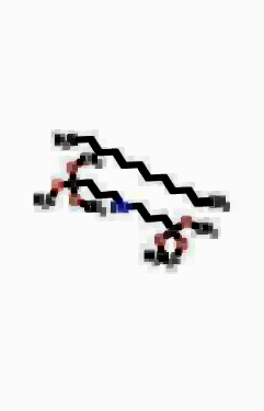 C=CCCCCCCCCC[SiH3].CO[Si](CCCNCCC[Si](OC)(OC)OC)(OC)OC